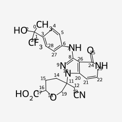 CC(O)(c1ccc(Nc2nn(C3(CC#N)CCC(C(=O)O)OC3)c3cc[nH]c(=O)c23)cc1)C(F)(F)F